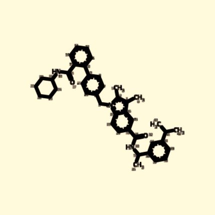 Cc1c(C)n(Cc2ccc(-c3ccccc3C(=O)NC3CCCCC3)cc2)c2ccc(C(=O)NC(C)c3cccc(C(C)C)c3)cc12